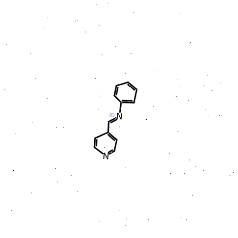 C(=N\c1ccccc1)/c1ccncc1